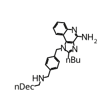 CCCCCCCCCCCNCc1ccc(Cn2c(CCCC)nc3c(N)nc4ccccc4c32)cc1